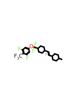 CC1CCC(/C=C/C2CCC(C(F)(F)Oc3cc(F)c(C(F)(F)F)c(F)c3)CC2)CC1